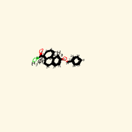 C[C@]1(C(=O)Cl)CCC[C@]2(C)c3cc(OCc4ccccc4)ccc3CC[C@@H]12